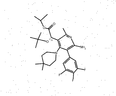 Cc1nc(N)c(-c2cc(F)c(F)c(F)c2)c(N2CCC(C)(C)CC2)c1[C@H](OC(C)(C)C)C(=O)OC(C)C